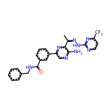 CC(=NNc1nccc(C(F)(F)F)n1)c1nc(-c2cccc(C(=O)NCc3ccccc3)c2)cnc1N